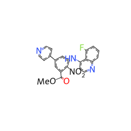 COC(=O)c1cc(-c2ccncc2)cc(Nc2ccnc3cccc(F)c23)c1[N+](=O)[O-]